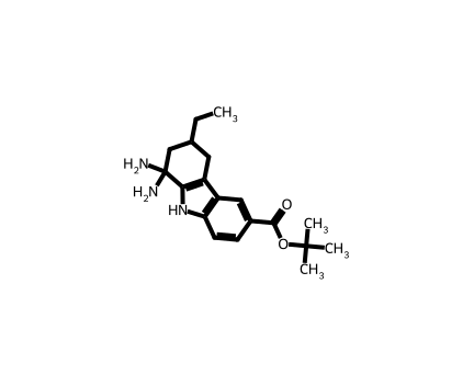 CCC1Cc2c([nH]c3ccc(C(=O)OC(C)(C)C)cc23)C(N)(N)C1